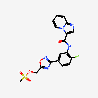 CS(=O)(=O)OCc1nc(-c2ccc(F)c(NC(=O)c3cnc4ccccn34)c2)no1